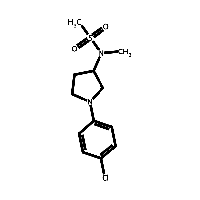 CN(C1CCN(c2ccc(Cl)cc2)C1)S(C)(=O)=O